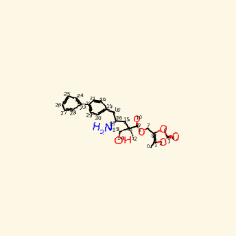 Cc1oc(=O)oc1COC(=O)[C@](C)(CO)C[C@H](N)Cc1ccc(-c2ccccc2)cc1